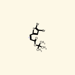 CC(C)(C)OC(=O)/C=C\c1cc(Br)c(Br)s1